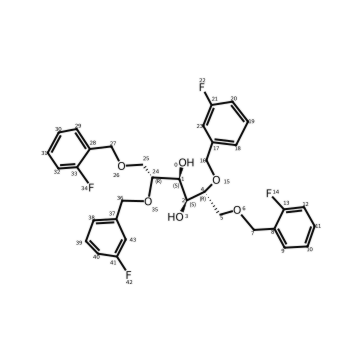 O[C@@H]([C@H](O)[C@@H](COCc1ccccc1F)OCc1cccc(F)c1)[C@@H](COCc1ccccc1F)OCc1cccc(F)c1